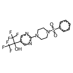 O=S(=O)(c1ccccc1)N1CCN(c2ncc(C(O)(C(F)(F)F)C(F)(F)F)cn2)CC1